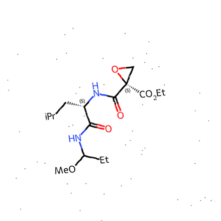 CCOC(=O)[C@@]1(C(=O)N[C@@H](CC(C)C)C(=O)NC(CC)OC)CO1